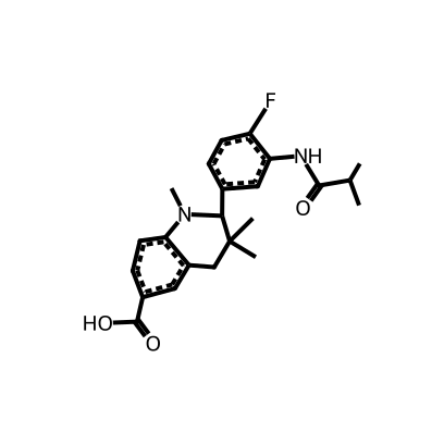 CC(C)C(=O)Nc1cc(C2N(C)c3ccc(C(=O)O)cc3CC2(C)C)ccc1F